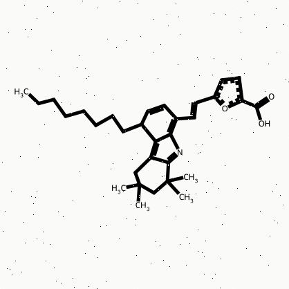 CCCCCCCCC1C=CC(C=Cc2ccc(C(=O)O)o2)=C2N=C3C(=C21)CC(C)(C)CC3(C)C